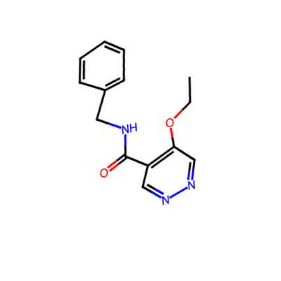 CCOc1cnncc1C(=O)NCc1ccccc1